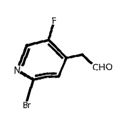 O=CCc1cc(Br)ncc1F